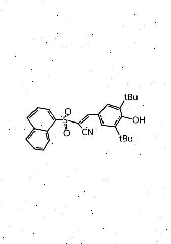 CC(C)(C)c1cc(C=C(C#N)S(=O)(=O)c2cccc3ccccc23)cc(C(C)(C)C)c1O